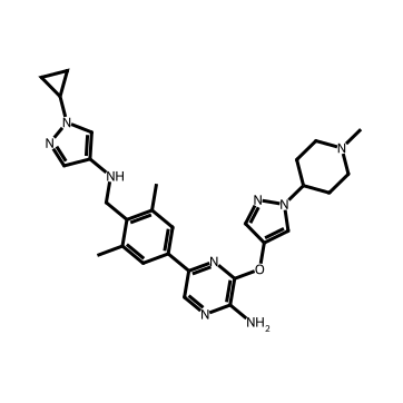 Cc1cc(-c2cnc(N)c(Oc3cnn(C4CCN(C)CC4)c3)n2)cc(C)c1CNc1cnn(C2CC2)c1